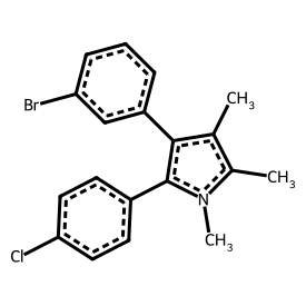 Cc1c(-c2cccc(Br)c2)c(-c2ccc(Cl)cc2)n(C)c1C